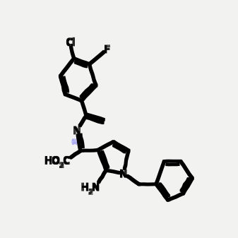 C=C(/N=C(/C(=O)O)c1ccn(Cc2ccccc2)c1N)c1ccc(Cl)c(F)c1